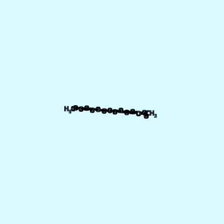 COCCOCCOCCOCCOCCOCCOCCOCCOCCOCCOCCOCCOC(C)=O